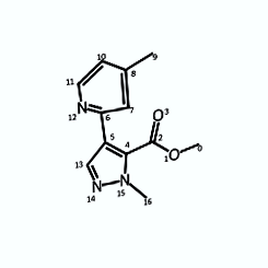 COC(=O)c1c(-c2cc(C)ccn2)cnn1C